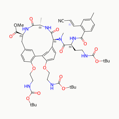 COC(=O)[C@@H]1Cc2ccc(OCCNC(=O)OC(C)(C)C)c(c2)-c2cc(ccc2OCCNC(=O)OC(C)(C)C)[C@H](N(C)C(=O)[C@H](CCNC(=O)OC(C)(C)C)NC(=O)c2ccc(C)cc2/C=C/C#N)C(=O)N[C@@H](C)C(=O)N1